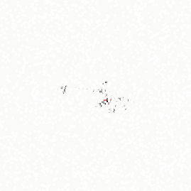 CNC(=O)CCC1(C)C(/C=C/C2=C(Oc3ccc(S(=O)(=O)O)cc3)C(=C/C=C3/N(OCCOCCOCCOCCCCC(=O)ON4C(=O)CCC4=O)c4c(C)cc(S(=O)(=O)O)cc4C3(C)CCC(=O)NC)/CCC2)=[N+](C)c2c(C)cc(S(=O)(=O)[O-])cc21